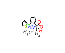 CCN[C@](C)(C(=O)O)c1ccccc1Cl.c1ccsc1